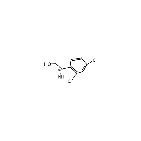 [NH][C@H](CO)c1ccc(Cl)cc1Cl